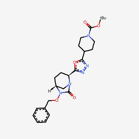 CC(C)(C)OC(=O)N1CCC(c2nnc([C@@H]3CC[C@@H]4CN3C(=O)N4OCc3ccccc3)o2)CC1